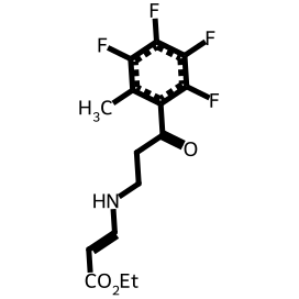 CCOC(=O)C=CNCCC(=O)c1c(C)c(F)c(F)c(F)c1F